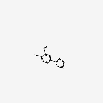 O=Cc1cc(-c2cccs2)cnc1F